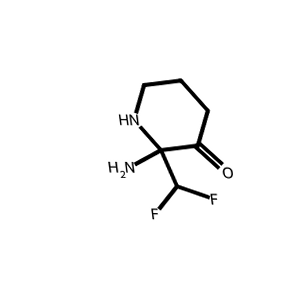 NC1(C(F)F)NCCCC1=O